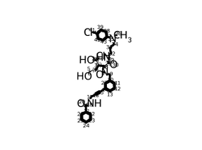 C[C@@H](O)[C@H]1[C@@H](CO)ON(Cc2cccc(C#CCNC(=O)c3ccccc3)c2)[C@H]1C(=O)NCCCN(C)c1ccc(Cl)cc1